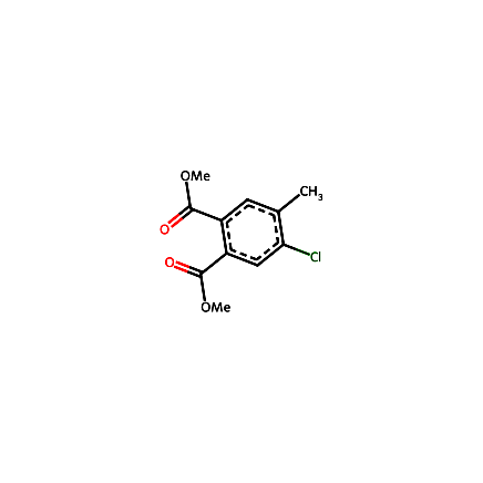 COC(=O)c1cc(C)c(Cl)cc1C(=O)OC